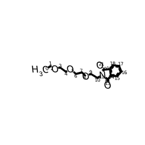 CCOCCOCCOCCN1C(=O)c2ccccc2C1=O